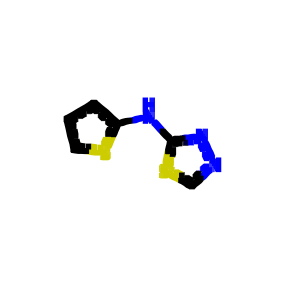 c1csc(Nc2nncs2)c1